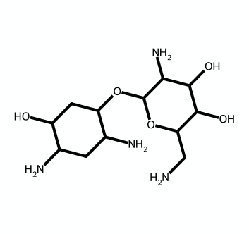 NCC1OC(OC2CC(O)C(N)CC2N)C(N)C(O)C1O